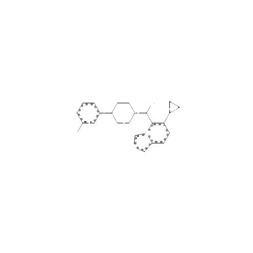 OC(c1c(C2CC2)ccc2cncn12)C1CCC(c2cccc(Cl)c2)CC1